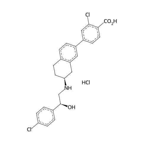 Cl.O=C(O)c1ccc(-c2ccc3c(c2)C[C@@H](NC[C@@H](O)c2ccc(Cl)cc2)CC3)cc1Cl